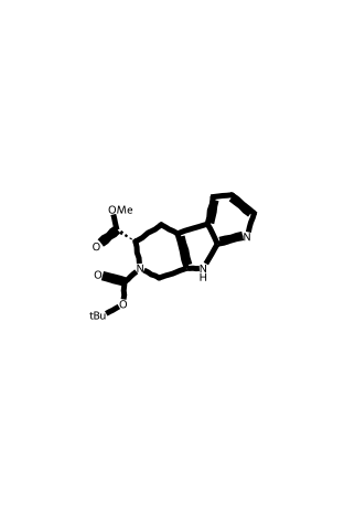 COC(=O)[C@@H]1Cc2c([nH]c3ncccc23)CN1C(=O)OC(C)(C)C